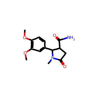 COc1ccc(C2C(C(N)=O)CC(=O)N2C)cc1OC